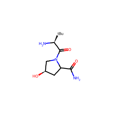 CC(C)(C)[C@H](N)C(=O)N1C[C@H](O)CC1C(N)=O